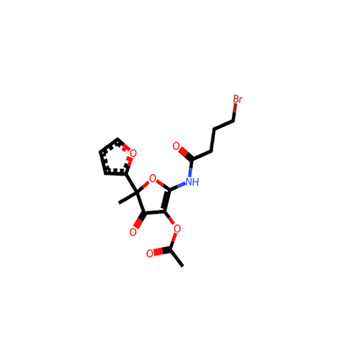 CC(=O)OC1=C(NC(=O)CCCBr)OC(C)(c2ccco2)C1=O